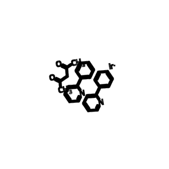 CC(=O)CC(C)=O.[Ir].c1ccc(-c2ccccn2)cc1.c1ccc(-c2ccccn2)cc1